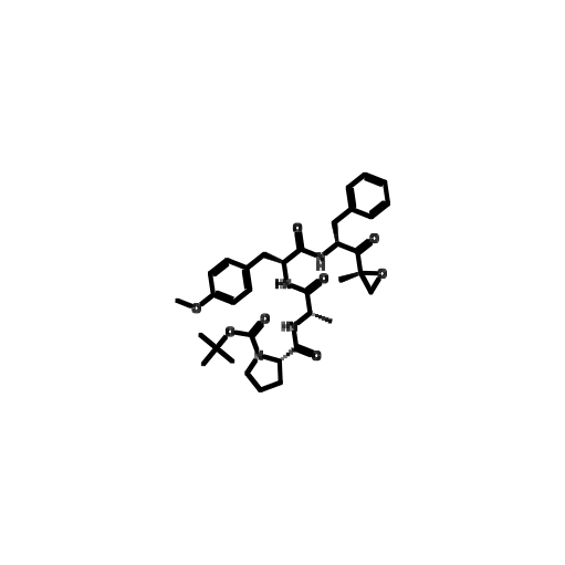 COc1ccc(C[C@H](NC(=O)[C@H](C)NC(=O)[C@@H]2CCCN2C(=O)OC(C)(C)C)C(=O)N[C@@H](Cc2ccccc2)C(=O)[C@@]2(C)CO2)cc1